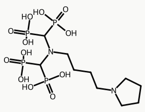 O=P(O)(O)C(N(CCCCN1CCCC1)C(P(=O)(O)O)P(=O)(O)O)P(=O)(O)O